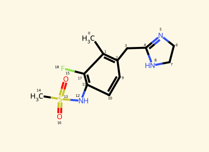 Cc1c(CC2=NCCN2)ccc(NS(C)(=O)=O)c1F